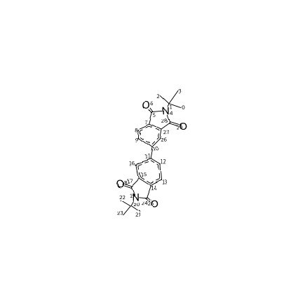 CC(C)(C)N1C(=O)c2ccc(-c3ccc4c(c3)C(=O)N(C(C)(C)C)C4=O)cc2C1=O